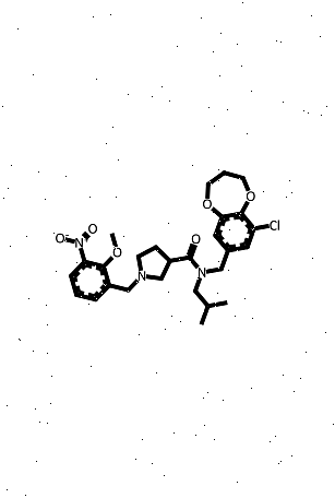 COc1c(CN2CCC(C(=O)N(Cc3cc(Cl)c4c(c3)OCCCO4)CC(C)C)C2)cccc1[N+](=O)[O-]